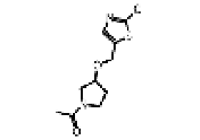 CC(=O)N1CCC(OCc2cnc(Cl)s2)C1